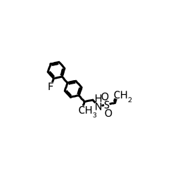 C=CS(=O)(=O)NCC(C)c1ccc(-c2ccccc2F)cc1